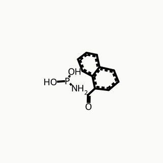 NP(O)O.O=Cc1cccc2ccccc12